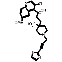 COc1ccc2ncc(Cl)c([C@H](O)CCC3(C(=O)O)CCN(CC#Cc4nccs4)CC3)c2c1